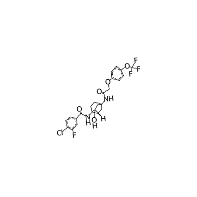 O=C(COc1ccc(OC(F)(F)F)cc1)NC12CCC(NC(=O)c3ccc(Cl)c(F)c3)(CC1)[C@@H](O)C2